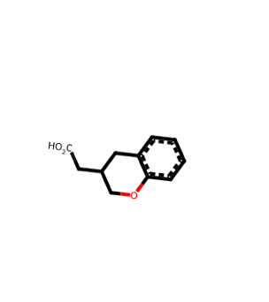 O=C(O)CC1COc2ccccc2C1